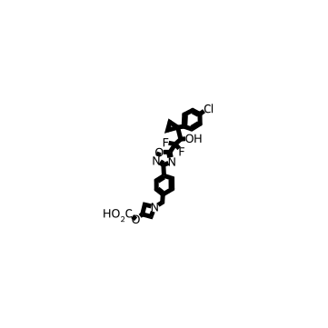 O=C(O)OC1CN(Cc2ccc(-c3noc(C(F)(F)C(O)C4(c5ccc(Cl)cc5)CC4)n3)cc2)C1